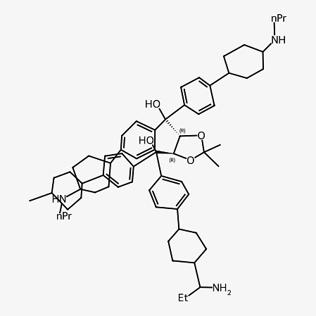 CCCNC1CCC(c2ccc(C(O)(c3ccc(C4CCC(NCCC)CC4)cc3)[C@@H]3OC(C)(C)O[C@H]3C(O)(c3ccc(C4CCC(C)CC4)cc3)c3ccc(C4CCC(C(N)CC)CC4)cc3)cc2)CC1